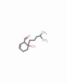 CC(C)CCCC1(O)CCC=CC1C=O